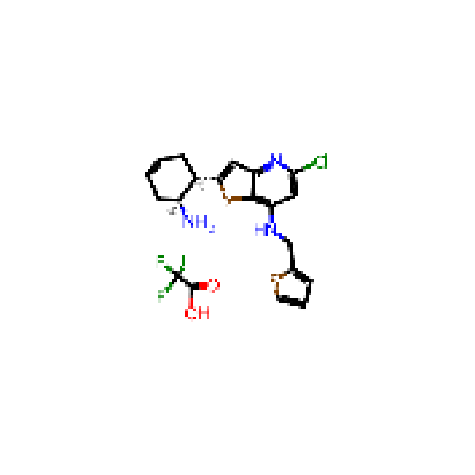 N[C@H]1CC=CC[C@@H]1c1cc2nc(Cl)cc(NCc3cccs3)c2s1.O=C(O)C(F)(F)F